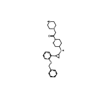 O=C(CN1CCNCC1)N1CCC(NC2CC2c2ccccc2OCc2ccccc2)CC1